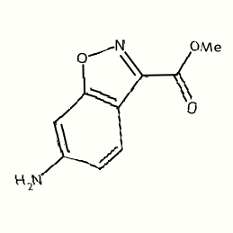 COC(=O)c1noc2cc(N)ccc12